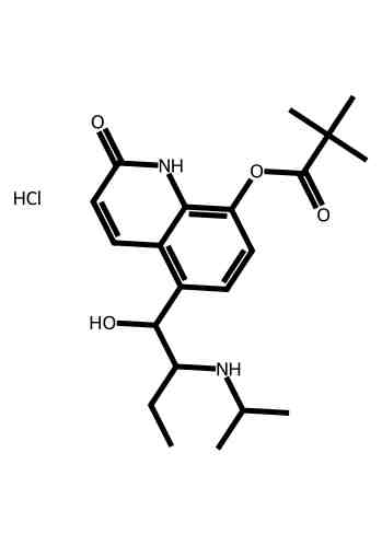 CCC(NC(C)C)C(O)c1ccc(OC(=O)C(C)(C)C)c2[nH]c(=O)ccc12.Cl